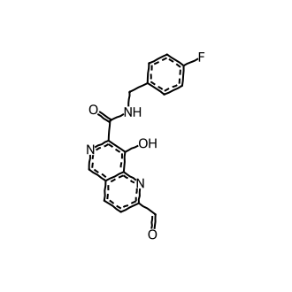 O=Cc1ccc2cnc(C(=O)NCc3ccc(F)cc3)c(O)c2n1